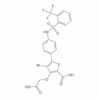 O=C(O)COc1c(C(=O)O)sc(-c2ccc(NS(=O)(=O)c3ccccc3C(F)(F)F)cc2)c1Br